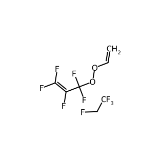 C=COOC(F)(F)C(F)=C(F)F.FCC(F)(F)F